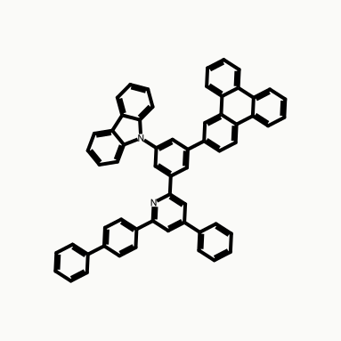 c1ccc(-c2ccc(-c3cc(-c4ccccc4)cc(-c4cc(-c5ccc6c7ccccc7c7ccccc7c6c5)cc(-n5c6ccccc6c6ccccc65)c4)n3)cc2)cc1